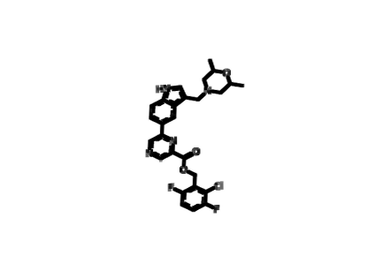 CC1CN(Cc2c[nH]c3ccc(-c4cn[c]c(C(=O)OCc5c(F)ccc(F)c5Cl)n4)cc23)CC(C)O1